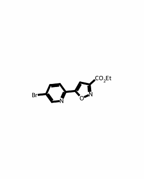 CCOC(=O)c1cc(-c2ccc(Br)cn2)on1